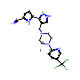 C[C@@H]1CN(Cc2c[nH]nc2-c2ccc(C#N)[nH]2)CCN1c1ccc(C(F)(F)F)cn1